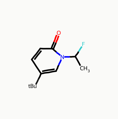 CC(F)n1cc(C(C)(C)C)ccc1=O